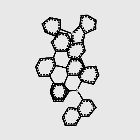 c1ccc(-c2ccccc2-c2c(-c3ccccc3)cccc2-c2cccc(N(c3cccc(-c4ccc5c(c4)c4ccccc4n5-c4ccccc4)c3)c3cccc4ccccc34)c2)cc1